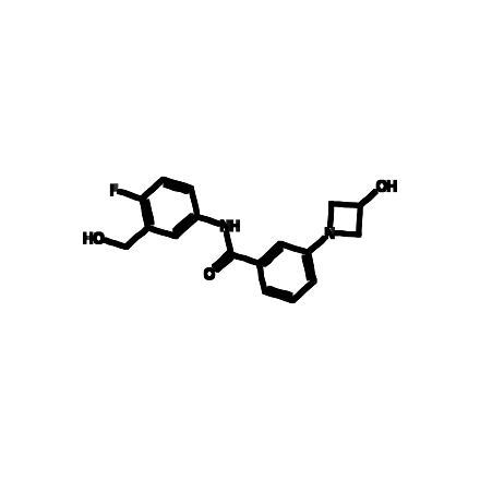 O=C(Nc1ccc(F)c(CO)c1)c1cccc(N2CC(O)C2)c1